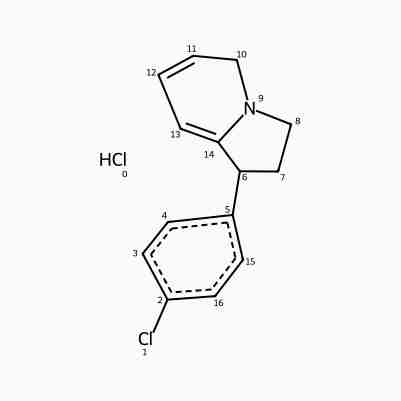 Cl.Clc1ccc(C2CCN3CC=CC=C23)cc1